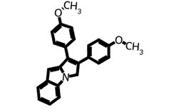 COc1ccc(C2=C(c3ccc(OC)cc3)c3cc4ccccc4n3C2)cc1